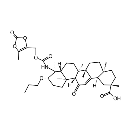 CCCO[C@H]1CC[C@@]2(C)[C@@H](CC[C@]3(C)[C@@H]2C(=O)C=C2[C@@H]4C[C@@](C)(C(=O)O)CC[C@]4(C)CC[C@]23C)[C@]1(C)NC(=O)OCc1oc(=O)oc1C